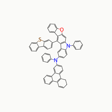 C1=Cc2c(c3ccc(N(c4ccccc4)c4ccc5c(c4)c4c(-c6ccc7c(c6)sc6ccccc67)c6c(cc4n5-c4ccccc4)oc4ccccc46)cc3c3ccccc23)CC1